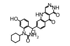 NC(=O)N(c1cc(O)ccc1C(Cl)c1ccc2c(=O)c3c(=O)[nH]ncc3[nH]c2c1)C1CCCCC1